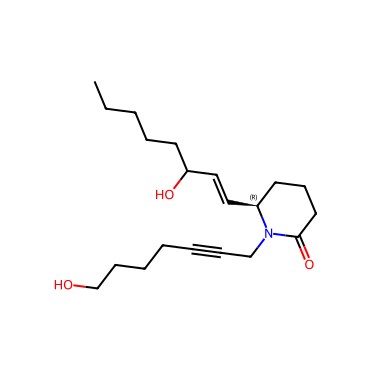 CCCCCC(O)C=C[C@H]1CCCC(=O)N1CC#CCCCCO